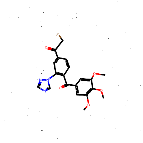 COc1cc(C(=O)c2ccc(C(=O)CBr)cc2-n2cncn2)cc(OC)c1OC